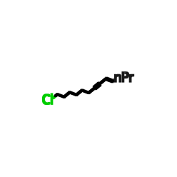 CCCC=CC#CCCCCCCCl